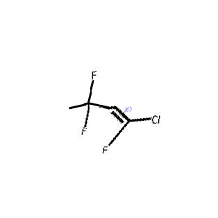 CC(F)(F)/C=C(\F)Cl